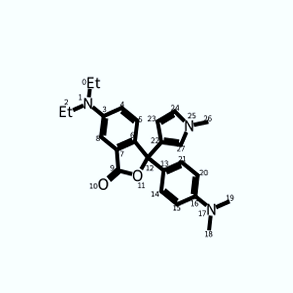 CCN(CC)c1ccc2c(c1)C(=O)OC2(c1ccc(N(C)C)cc1)c1ccn(C)c1